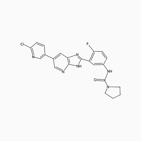 O=C(Nc1ccc(F)c(-c2nc3cc(-c4ccc(Cl)nc4)cnc3[nH]2)c1)N1CCCC1